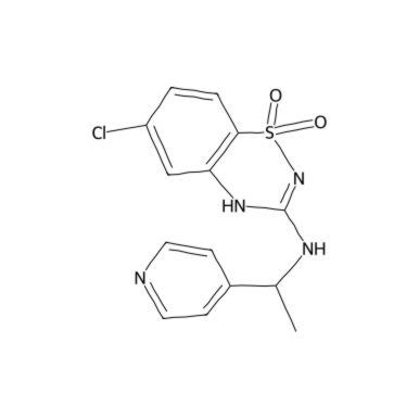 CC(NC1=NS(=O)(=O)c2ccc(Cl)cc2N1)c1ccncc1